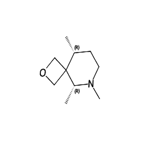 C[C@@H]1CCN(C)[C@H](C)C12COC2